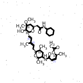 CO[C@@]1(C)C[C@@H](CC(=O)NC2CCCCC2)O[C@H](/C=C/C(C)=C/C[C@@H]2O[C@H](C)C(NC(=O)/C=C\[C@H](C)OC(C)=O)C[C@@H]2C)[C@H]1O